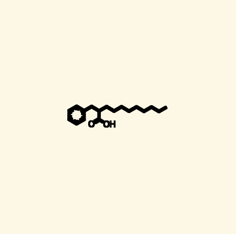 CCCCCCCCCC(Cc1ccccc1)C(=O)O